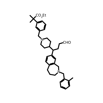 CCOC(=O)C(C)(C)c1cccc(CN2CCC(C(CCC=O)c3ccc4c(c3)CN(Cc3ccccc3C)CCC4)CC2)c1